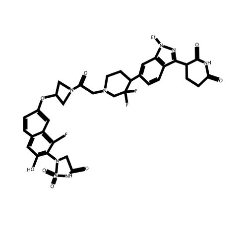 CCn1nc(C2CCC(=O)NC2=O)c2ccc(C3CCN(CC(=O)N4CC(Oc5ccc6cc(O)c(N7CC(=O)NS7(=O)=O)c(F)c6c5)C4)CC3(F)F)cc21